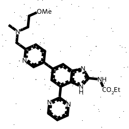 CCOC(=O)Nc1nc2cc(-c3ccc(CN(C)CCOC)nc3)cc(-c3ncccn3)c2[nH]1